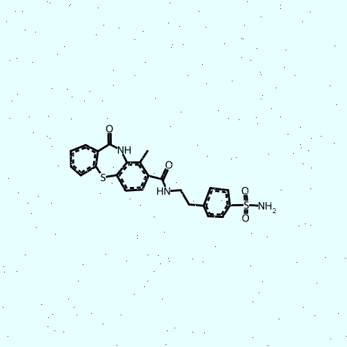 Cc1c(C(=O)NCCc2ccc(S(N)(=O)=O)cc2)ccc2c1NC(=O)c1ccccc1S2